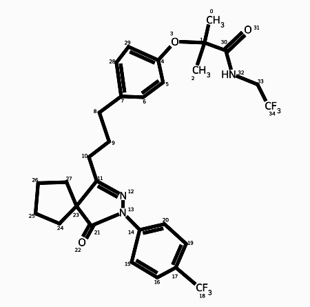 CC(C)(Oc1ccc(CCCC2=NN(c3ccc(C(F)(F)F)cc3)C(=O)C23CCCC3)cc1)C(=O)NCC(F)(F)F